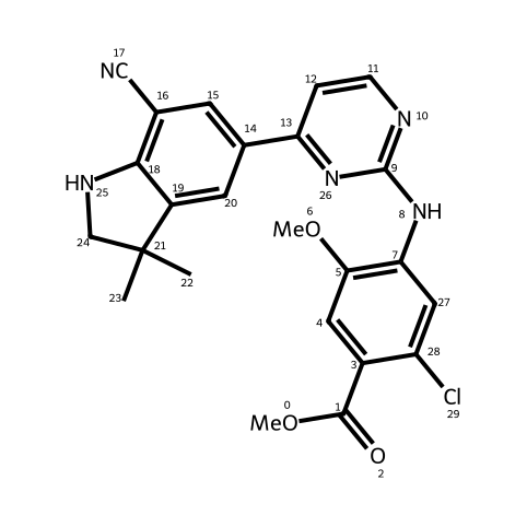 COC(=O)c1cc(OC)c(Nc2nccc(-c3cc(C#N)c4c(c3)C(C)(C)CN4)n2)cc1Cl